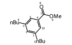 CCCCc1cc(CCCC)cc(C(=O)OC)c1